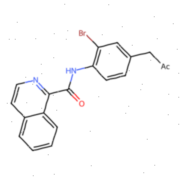 CC(=O)Cc1ccc(NC(=O)c2nccc3ccccc23)c(Br)c1